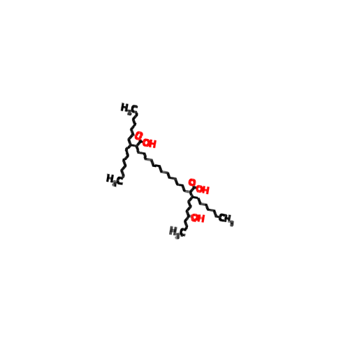 CCCCCCCC(CCCCCCC)C(CCCCCCCCCCCCCC(C(=O)O)C(CCCCCCC)CCCC(O)CCC)C(=O)O